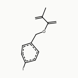 C=C(C)C(=C)OCc1ccc(I)cc1